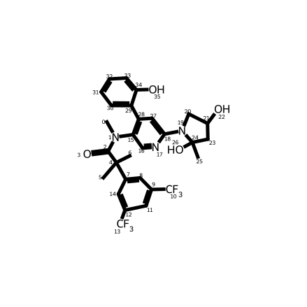 CN(C(=O)C(C)(C)c1cc(C(F)(F)F)cc(C(F)(F)F)c1)c1cnc(N2CC(O)CC2(C)O)cc1-c1ccccc1O